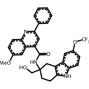 COc1ccc2nc(-c3ccccc3)cc(C(=O)NC3(CO)CCc4[nH]c5ccc(OC(F)(F)F)cc5c4C3)c2c1